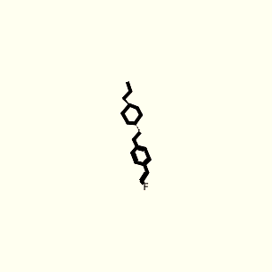 CCC[C@H]1CC[C@H](CCc2ccc(C=CF)cc2)CC1